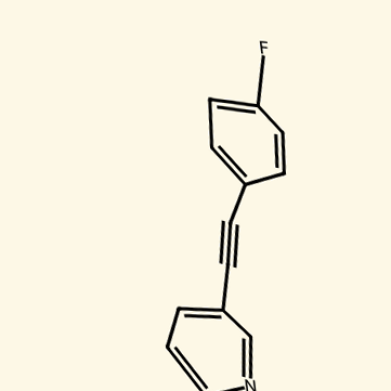 Fc1ccc(C#Cc2cccnc2)cc1